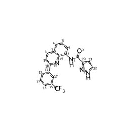 O=C(Nc1cccc2ccc(-c3cccc(C(F)(F)F)c3)nc12)c1cc[nH]n1